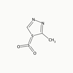 CC1=NN=CS1=S(=O)=O